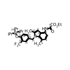 CCOC(=O)C(=O)Nc1ccc(C)c2c1cc(C)n2Cc1ccc(O[Si](C(C)C)(C(C)C)C(C)C)c(C(F)(F)F)c1